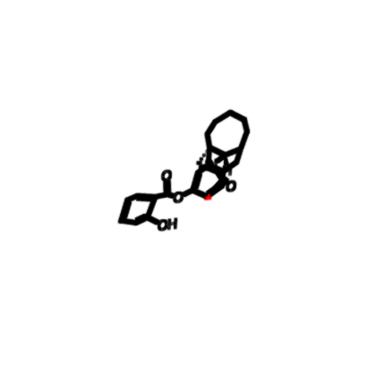 CC(=O)N[C@H]1C2CCCCC[C@]1(C)c1cc(OC(=O)c3ccccc3O)ccc1C2